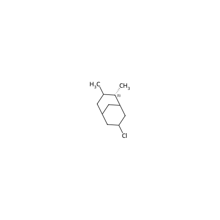 CC1CC2CC(Cl)CC(C2)[C@H]1C